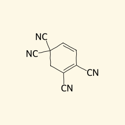 N#CC1=C(C#N)CC(C#N)(C#N)C=C1